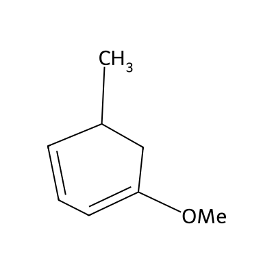 COC1=CC=CC(C)C1